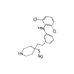 O=NSC1(CCc2cccc(Nc3c(Cl)cccc3Cl)c2)CCNCC1